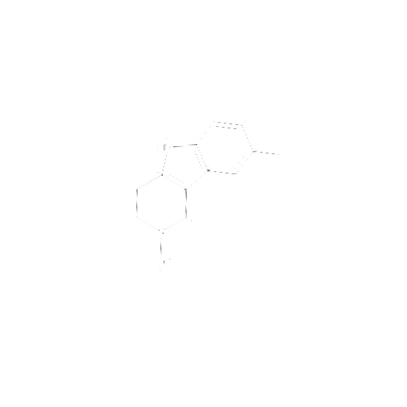 CCCN1CCc2[nH]c3ccc(F)cc3c2C1